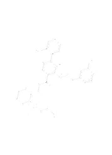 N#Cc1ccccc1-c1ccc(C(=O)NC[C@H]2CCCCN2S(=O)(=O)CCN)c(NCCc2cccc(F)c2)n1